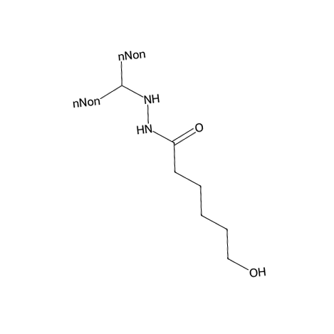 CCCCCCCCCC(CCCCCCCCC)NNC(=O)CCCCCO